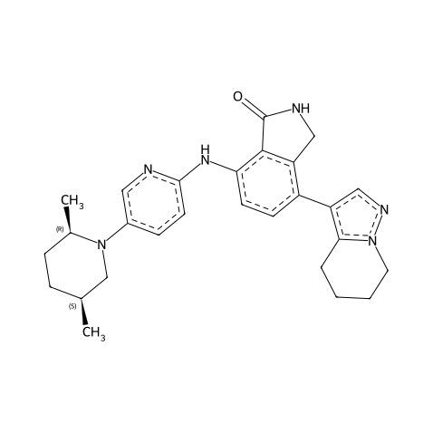 C[C@H]1CC[C@@H](C)N(c2ccc(Nc3ccc(-c4cnn5c4CCCC5)c4c3C(=O)NC4)nc2)C1